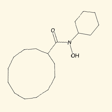 O=C(C1CCCCCCCCCCC1)N(O)C1CCCCC1